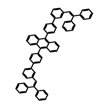 C(=C(c1ccccc1)c1ccccc1)c1cccc(-c2ccc(-c3c4ccccc4c(-c4ccc(-c5cccc(C=C(c6ccccc6)c6ccccc6)c5)cc4)c4ccccc34)cc2)c1